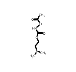 CC(=O)ONC(=O)OCCN(C)C